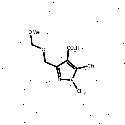 COCOCc1nn(C)c(C)c1C(=O)O